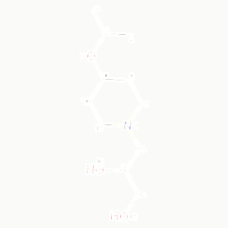 CC(C)OC1CCN(CC(O)CO)CC1